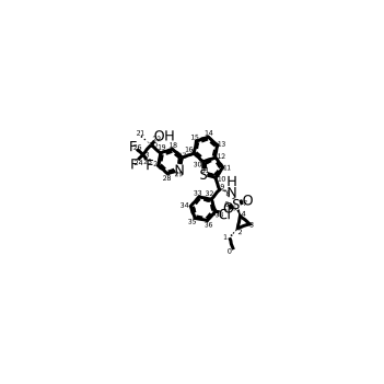 CC[C@H]1C[C@@H]1S(=O)(=O)N[C@@H](c1cc2cccc(-c3cc([C@](C)(O)C(F)(F)F)ccn3)c2s1)c1ccccc1Cl